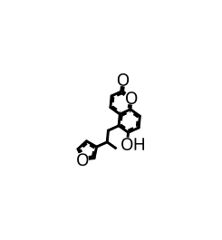 CC(Cc1c(O)ccc2oc(=O)ccc12)c1ccoc1